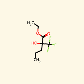 CCCC(O)(C(=O)OCC)C(F)(F)F